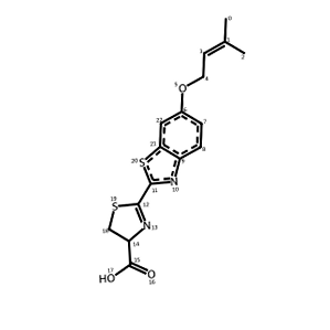 CC(C)=CCOc1ccc2nc(C3=NC(C(=O)O)CS3)sc2c1